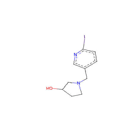 OC1CCN(Cc2ccc(I)nc2)C1